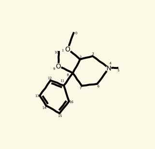 COC1CN(C)CCC1(OC)c1ccccc1